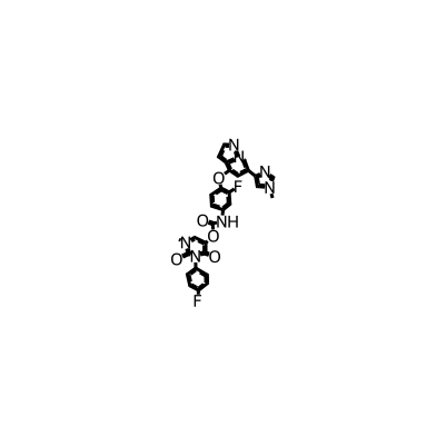 Cn1cnc(-c2cc(Oc3ccc(NC(=O)Oc4cn(C)c(=O)n(-c5ccc(F)cc5)c4=O)cc3F)c3ccnn3c2)c1